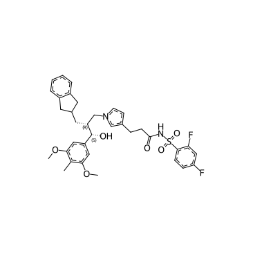 COc1cc([C@@H](O)[C@H](CC2Cc3ccccc3C2)Cn2ccc(CCC(=O)NS(=O)(=O)c3ccc(F)cc3F)c2)cc(OC)c1C